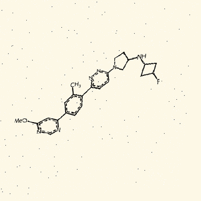 COc1cc(-c2ccc(-c3ccc(N4CCC(NC5CC(F)C5)C4)nn3)c(C)c2)ncn1